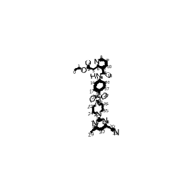 CCOC(=O)Cc1ncccc1C(=O)Nc1ccc(S(=O)(=O)N2CCN(c3nc(C)cc(C#N)n3)CC2)cc1